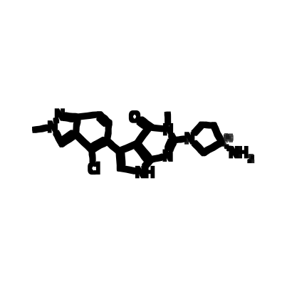 Cn1cc2c(Cl)c(-c3c[nH]c4nc(N5CC[C@H](N)C5)n(C)c(=O)c34)ccc2n1